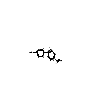 CCCCC1CCC([C@]2(C#N)CC[C@@H](CCCC)CC2)CC1